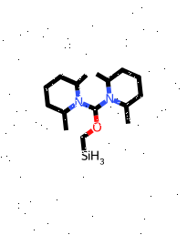 CC1CCCC(C)N1C(OC[SiH3])N1C(C)CCCC1C